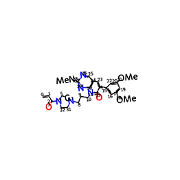 C=CC(=O)N1CCN(CCCn2c(=O)c(-c3cc(OC)cc(OC)c3)cc3cnc(NC)nc32)CC1